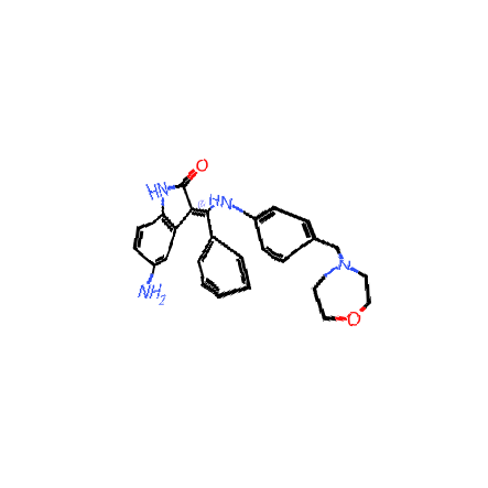 Nc1ccc2c(c1)/C(=C(/Nc1ccc(CN3CCOCC3)cc1)c1ccccc1)C(=O)N2